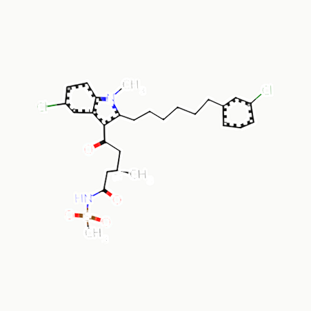 C[C@@H](CC(=O)NS(C)(=O)=O)CC(=O)c1c(CCCCCCc2cccc(Cl)c2)n(C)c2ccc(Cl)cc12